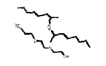 CCCCCCC(C)OC(C)CCCCCC.OCCOCCOCCO